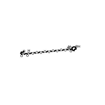 O=C(CCN1C(=O)C=CC1=O)NCCOCCOCCOCCOCCOCCOCCOCCOCCOCCNC(=O)[C@]1(O)CC/C=C/[C@H](O)CC1